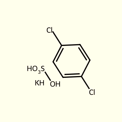 Clc1ccc(Cl)cc1.O=S(=O)(O)O.[KH]